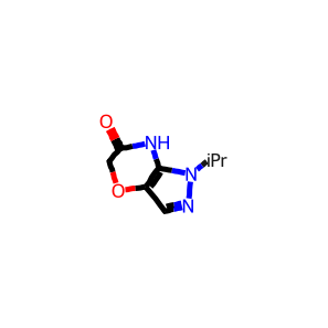 CC(C)n1ncc2c1NC(=O)CO2